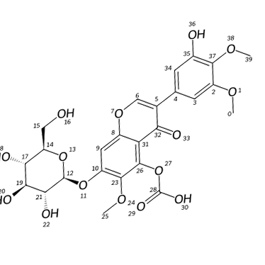 COc1cc(-c2coc3cc(O[C@@H]4O[C@H](CO)[C@@H](O)[C@H](O)[C@H]4O)c(OC)c(OC(=O)O)c3c2=O)cc(O)c1OC